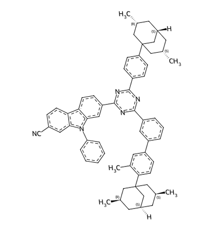 Cc1cc(-c2cccc(-c3nc(-c4ccc(C56C[C@H](C)C[C@H](C[C@H](C)C5)C6)cc4)nc(-c4ccc5c6ccc(C#N)cc6n(-c6ccccc6)c5c4)n3)c2)ccc1C12C[C@H](C)C[C@H](C[C@H](C)C1)C2